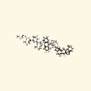 C=CCCC(=C)C1=C/C(=C/C=C(\C)c2c3ccccc3c(/C(C)=C/C=C3\Cc4ccc5cc6oc7ccccc7c6cc5c4O3)c3ccccc23)CC=C1